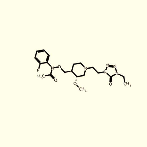 CCn1nnn(CCN2CC[C@H](CON(C(C)=O)c3ccccc3F)[C@@H](OC)C2)c1=O